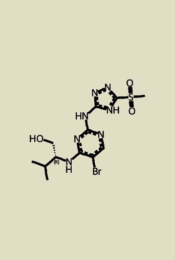 CC(C)[C@H](CO)Nc1nc(Nc2nnc(S(C)(=O)=O)[nH]2)ncc1Br